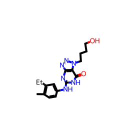 CCc1cc(Nc2nc3nnn(CCCCO)c3c(=O)[nH]2)ccc1C